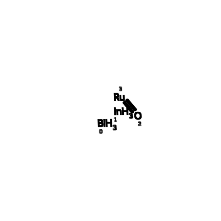 [BiH3].[InH3].[O]=[Ru]